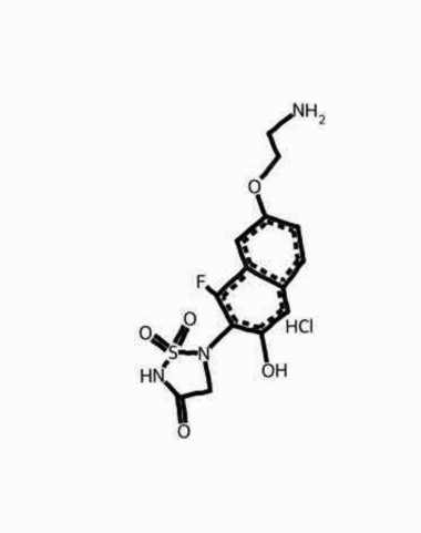 Cl.NCCOc1ccc2cc(O)c(N3CC(=O)NS3(=O)=O)c(F)c2c1